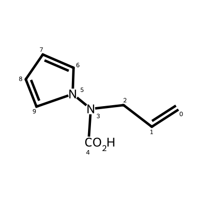 C=CCN(C(=O)O)n1cccc1